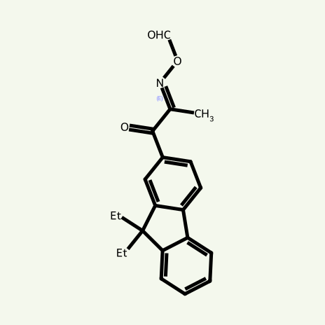 CCC1(CC)c2ccccc2-c2ccc(C(=O)/C(C)=N/OC=O)cc21